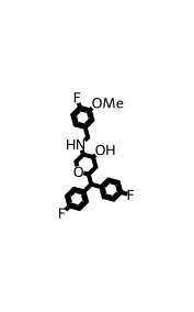 COc1cc(CNC2COC(C(c3ccc(F)cc3)c3ccc(F)cc3)CC2O)ccc1F